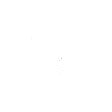 CCOC(=O)[C@H](CC(C)C)NS(=O)(=O)c1ccc2oc3cc(Cl)ccc3c2c1